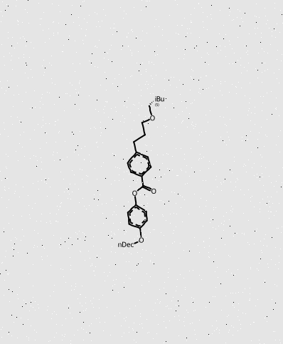 CCCCCCCCCCOc1ccc(OC(=O)c2ccc(CCCOC[C@@H](C)CC)cc2)cc1